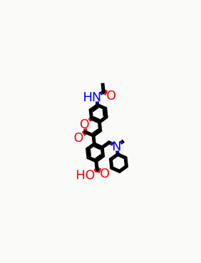 CC(=O)Nc1ccc2cc(-c3ccc(C(=O)O)cc3CN(C)C3CCCCC3)c(=O)oc2c1